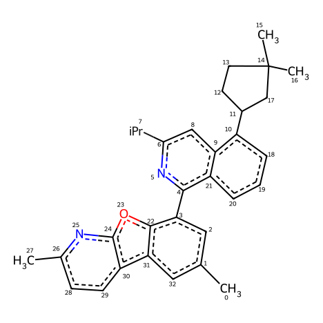 Cc1cc(-c2nc(C(C)C)cc3c(C4CCC(C)(C)C4)cccc23)c2oc3nc(C)ccc3c2c1